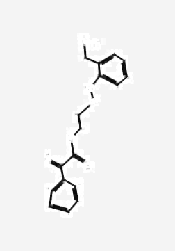 O=C(O)Cc1ccccc1OOCCOC(=O)C(=O)c1ccccc1